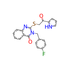 O=C(CSc1nc2ccccc2c(=O)n1Cc1ccc(F)cc1)c1ccc[nH]1